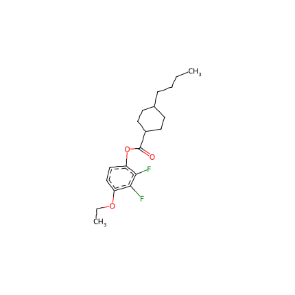 CCCCC1CCC(C(=O)Oc2ccc(OCC)c(F)c2F)CC1